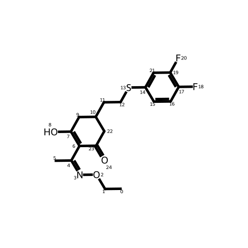 CCO/N=C(/C)C1=C(O)CC(CCSc2ccc(F)c(F)c2)CC1=O